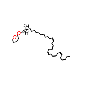 [2H]C([2H])(CCCCCCCCCC/C=C\C/C=C\C/C=C\C/C=C\C/C=C\C/C=C\CC)CCOC1CCCCO1